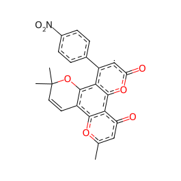 Cc1cc(=O)c2c(o1)c1c(c3c(-c4ccc([N+](=O)[O-])cc4)[c]c(=O)oc32)OC(C)(C)C=C1